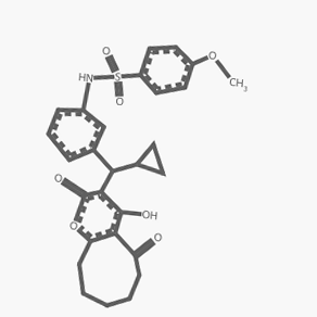 COc1ccc(S(=O)(=O)Nc2cccc(C(c3c(O)c4c(oc3=O)CCCCCC4=O)C3CC3)c2)cc1